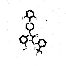 COc1cccc2c1n(Cc1ccccc1C(F)(F)F)c(=O)n2C1CCN(c2c(F)cccc2F)CC1